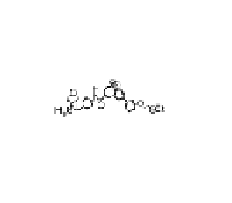 CCOCCOc1cccc(-c2ccc3c(c2)C=C(C(=O)Nc2ccc(CN(C)C4CCOCC4)cc2)CCS3(=O)=O)c1